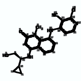 Cn1c(=O)cc(N[C@H](CO)C2CC2)c2cccc(Nc3ccnc(Cl)c3C#N)c21